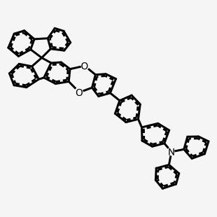 c1ccc(N(c2ccccc2)c2ccc(-c3ccc(-c4ccc5c(c4)Oc4cc6c(cc4O5)C4(c5ccccc5-c5ccccc54)c4ccccc4-6)cc3)cc2)cc1